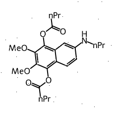 CCCNc1ccc2c(OC(=O)CCC)c(OC)c(OC)c(OC(=O)CCC)c2c1